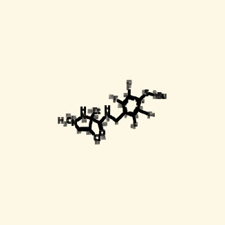 CCCCSc1c(F)c(F)c(CNC(=O)C2(CC)NN(C)C=C2Cl)c(F)c1F